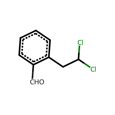 O=Cc1ccccc1CC(Cl)Cl